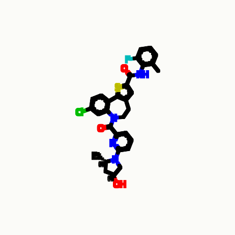 CC[C@H]1C[C@@H](O)CN1c1cccc(C(=O)N2CCc3cc(C(=O)Nc4c(C)cccc4F)sc3-c3ccc(Cl)cc32)n1